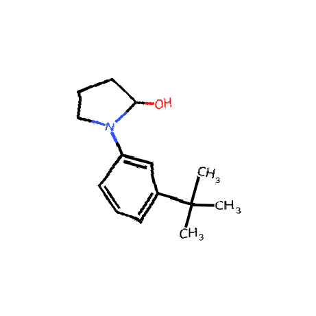 CC(C)(C)c1cccc(N2CCCC2O)c1